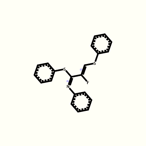 FC(=C\Sc1ccccc1)/C(=N\c1ccccc1)Sc1ccccc1